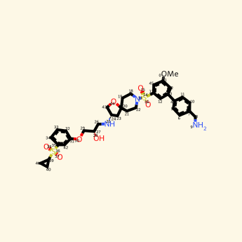 COc1cc(-c2ccc(CN)cc2)cc(S(=O)(=O)N2CCC3(CC2)C[C@H](NC[C@H](O)COc2cccc(S(=O)(=O)C4CC4)c2)CO3)c1